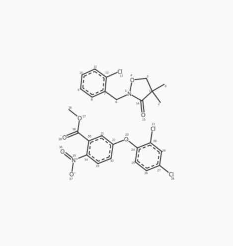 CC1(C)CON(Cc2ccccc2Cl)C1=O.COC(=O)c1cc(Oc2ccc(Cl)cc2Cl)ccc1[N+](=O)[O-]